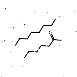 CCCCCC(C)=O.CCCCCCCC